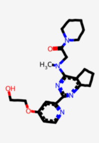 CN(CC(=O)N1CCCCC1)c1nc(-c2cc(OCCO)ccn2)nc2c1CCC2